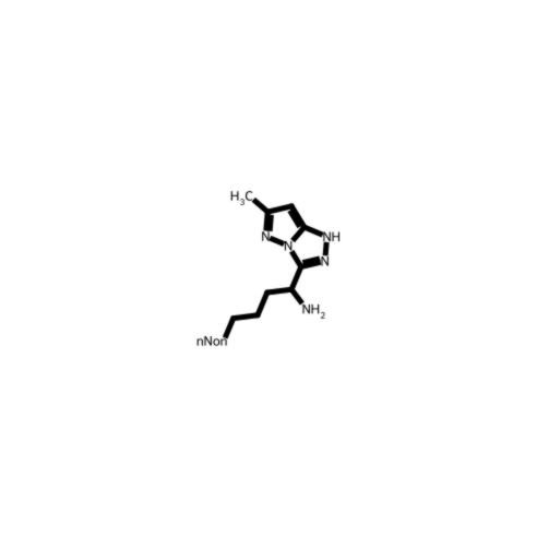 CCCCCCCCCCCCC(N)c1n[nH]c2cc(C)nn12